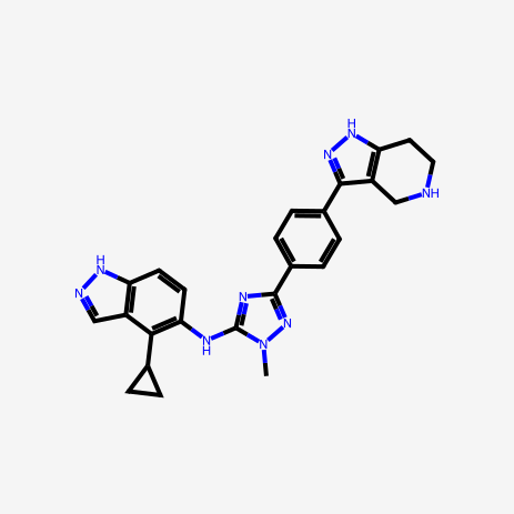 Cn1nc(-c2ccc(-c3n[nH]c4c3CNCC4)cc2)nc1Nc1ccc2[nH]ncc2c1C1CC1